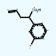 C=CCC(C(=O)O)c1cccc(F)c1